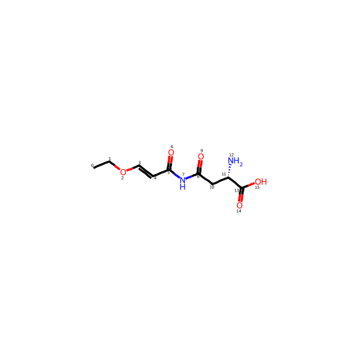 CCOC=CC(=O)NC(=O)C[C@H](N)C(=O)O